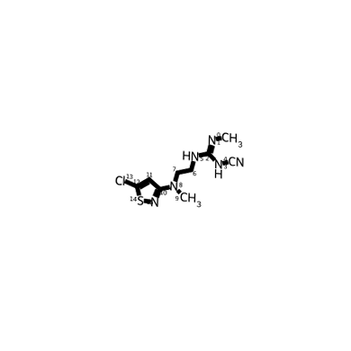 CN=C(NC#N)NCCN(C)c1cc(Cl)sn1